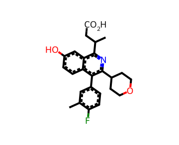 Cc1cc(-c2c(C3CCOCC3)nc(C(C)CC(=O)O)c3cc(O)ccc23)ccc1F